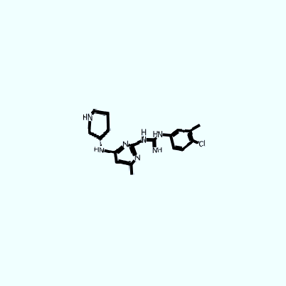 Cc1cc(N[C@H]2CCCNC2)nc(NC(=N)Nc2ccc(Cl)c(C)c2)n1